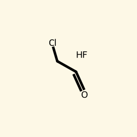 F.O=CCCl